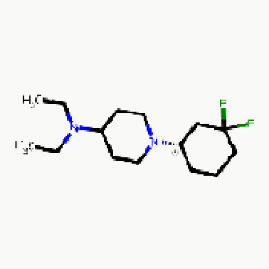 CCN(CC)C1CCN([C@H]2CCCC(F)(F)C2)CC1